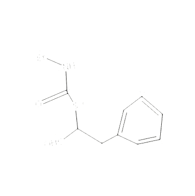 CCNC(=O)SC([C]=O)Cc1ccccc1